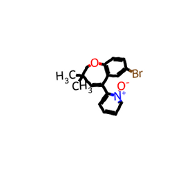 CC1(C)C=C(c2cccc[n+]2[O-])c2cc(Br)ccc2OC1